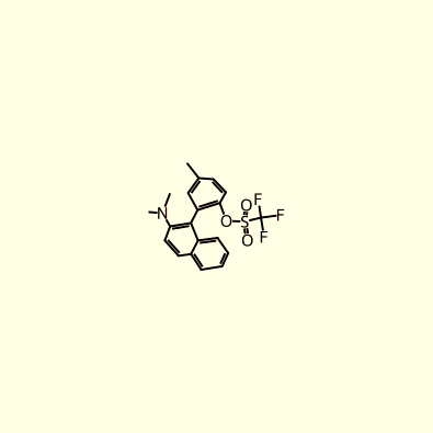 Cc1ccc(OS(=O)(=O)C(F)(F)F)c(-c2c(N(C)C)ccc3ccccc23)c1